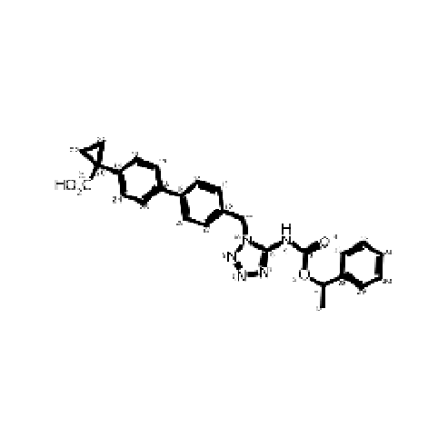 CC(OC(=O)Nc1nnnn1Cc1ccc(-c2ccc(C3(C(=O)O)CC3)cc2)cc1)c1ccccc1